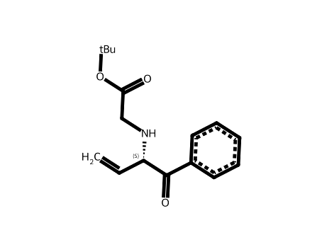 C=C[C@H](NCC(=O)OC(C)(C)C)C(=O)c1ccccc1